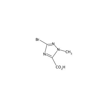 Cn1nc(Br)nc1C(=O)O